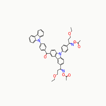 CCOCC/C(=N\OC(C)=O)c1ccc(-n2c3ccc(C(=O)c4ccc(-n5c6ccccc6c6ccccc65)cc4)cc3c3cc(/C(CCOCC)=N/OC(C)=O)ccc32)cc1